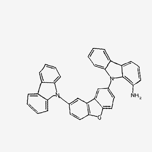 Nc1cccc2c3ccccc3n(-c3ccc4oc5ccc(-n6c7ccccc7c7ccccc76)cc5c4c3)c12